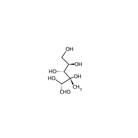 C[C@](O)([C@H](O)[C@H](O)CO)[C@@H](O)C=O